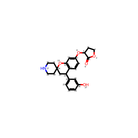 O=C1OCCC1Oc1ccc2c(c1)OC1(CCNCC1)CC2c1cccc(O)c1